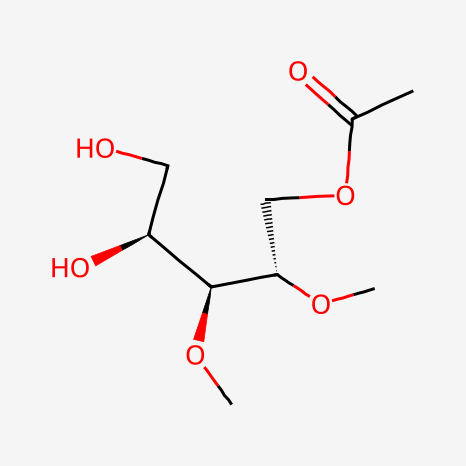 CO[C@H]([C@H](COC(C)=O)OC)[C@@H](O)CO